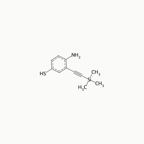 C[Si](C)(C)C#Cc1cc(S)ccc1N